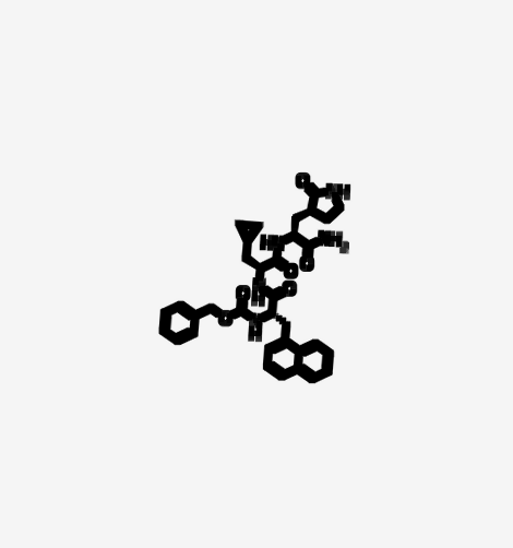 NC(=O)[C@H](C[C@@H]1CCNC1=O)NC(=O)[C@H](CC1CC1)NC(=O)[C@H](Cc1cccc2ccccc12)NC(=O)OCc1ccccc1